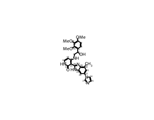 COc1ccc(C(O)CNc2cc[nH]c(=O)c2-c2nc3c(C)cc(-n4ccnc4)cc3[nH]2)c(OC)c1OC